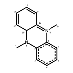 CN1c2ccccc2[N+](C)=C2C=CC=CC21